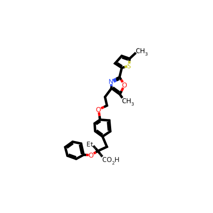 CCC(Cc1ccc(OCCc2nc(-c3ccc(C)s3)oc2C)cc1)(Oc1ccccc1)C(=O)O